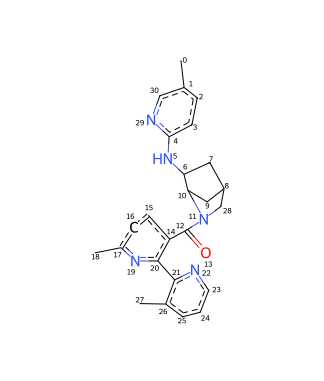 Cc1ccc(NC2CC3CC2N(C(=O)c2ccc(C)nc2-c2ncccc2C)C3)nc1